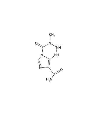 CN1NNc2c(C(N)=O)ncn2C1=O